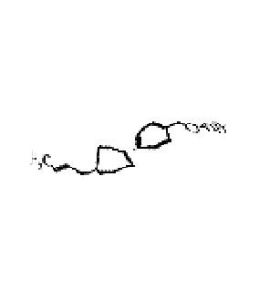 C/C=C/C[C@H]1CC[C@H](c2ccc(COCCC)cc2)CC1